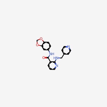 O=C(Nc1ccc2c(c1)OCO2)c1cccnc1NCc1ccncc1